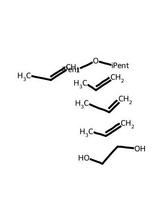 C=CC.C=CC.C=CC.C=CC.CCCC(C)OC(C)CCC.OCCO